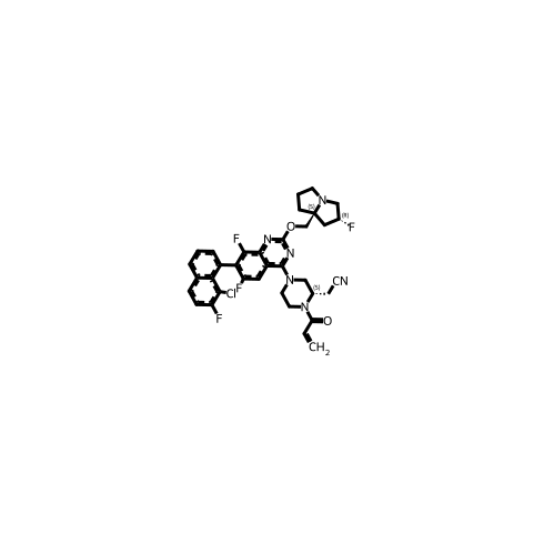 C=CC(=O)N1CCN(c2nc(OC[C@@]34CCCN3C[C@H](F)C4)nc3c(F)c(-c4cccc5ccc(F)c(Cl)c45)c(F)cc23)C[C@@H]1CC#N